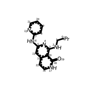 CC(C)CNc1nc(Nc2ccccn2)cc2cc[nH]c(=O)c12